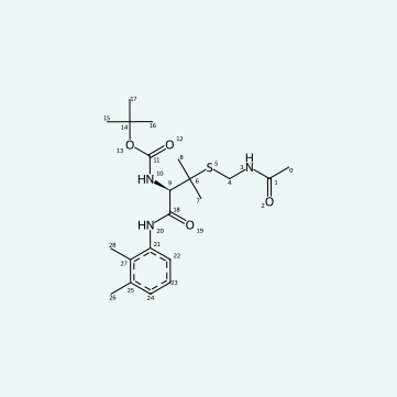 CC(=O)NCSC(C)(C)[C@H](NC(=O)OC(C)(C)C)C(=O)Nc1cccc(C)c1C